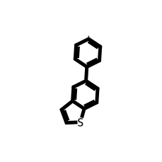 [c]1ccc(-c2ccc3sccc3c2)cc1